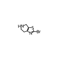 Brc1nc2c(s1)CNCC2